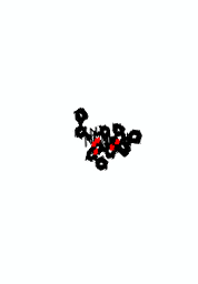 c1ccc(-c2cccc(-c3nc(-c4cccc(-c5ccccc5)c4)nc(-c4ccccc4-n4c5ccccc5c5ccc6c7ccc8c9ccccc9n(-c9ccccc9-c9ccccc9)c8c7oc6c54)n3)c2)cc1